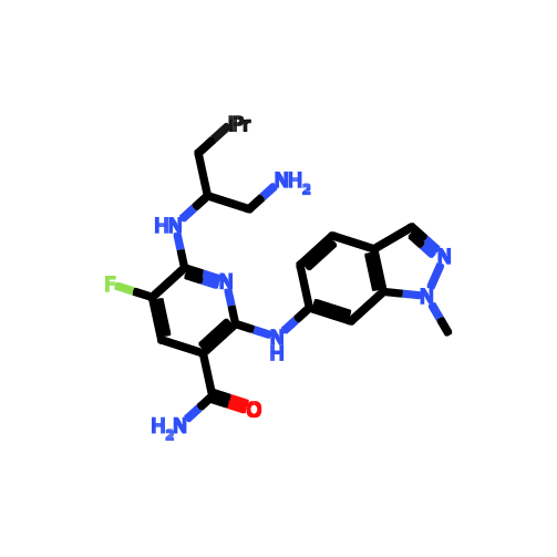 CC(C)CC(CN)Nc1nc(Nc2ccc3cnn(C)c3c2)c(C(N)=O)cc1F